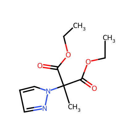 CCOC(=O)C(C)(C(=O)OCC)n1cccn1